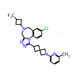 Cc1cccc(N2CC3(CC(c4nnc5n4-c4ccc(Cl)cc4CN(C4CC(C(F)(F)F)C4)C5)C3)C2)n1